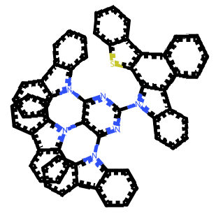 c1ccc2c(c1)sc1c2c2ccccc2c2c3ccccc3n(-c3nc(-n4c5ccccc5c5ccccc54)c(-n4c5ccccc5c5ccccc54)c(-n4c5ccccc5c5ccccc54)n3)c12